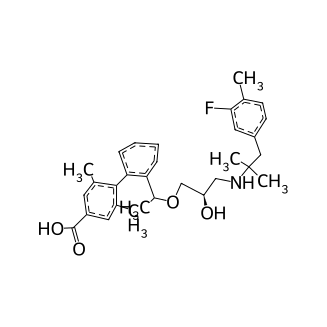 Cc1ccc(CC(C)(C)NC[C@@H](O)COC(C)c2ccccc2-c2c(C)cc(C(=O)O)cc2C)cc1F